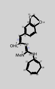 CN/C(=N\C(C=O)=C/c1ccc2c(c1)OCO2)NC1=CCC=CC=C1